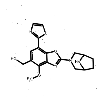 OCc1cc(-c2nccs2)c2oc(N3CC4CCC(C3)N4)nc2c1OC(F)(F)F